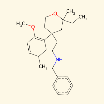 CCC1(C)CC(CCNCc2ccccc2)(C2=C(OC)C=CC(C)C2)CCO1